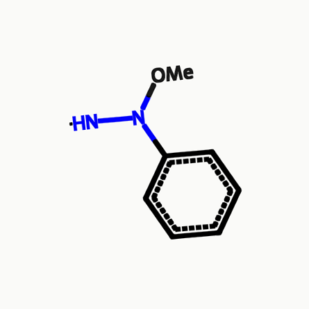 CON([NH])c1ccccc1